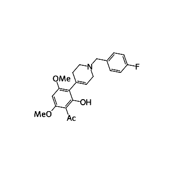 COc1cc(OC)c(C2=CCN(Cc3ccc(F)cc3)CC2)c(O)c1C(C)=O